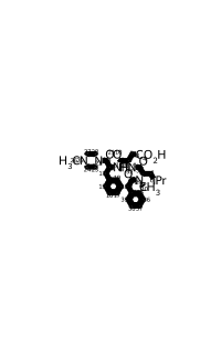 CC(C)CC(C(=O)NC(CC(=O)O)C(=O)NC(Cc1ccccc1)C(=O)N1CCN(C)CC1)N(C)C(=O)Cc1ccccc1